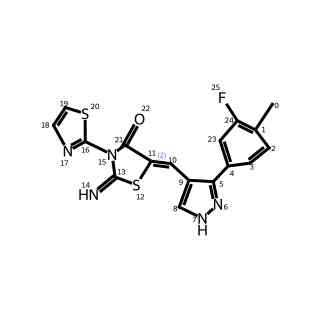 Cc1ccc(-c2n[nH]cc2/C=C2\SC(=N)N(c3nccs3)C2=O)cc1F